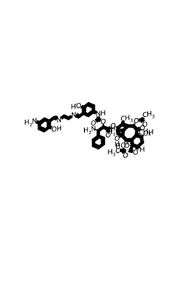 CC(=O)O[C@H]1C(=O)[C@@]2(C)[C@H]([C@H](O)[C@]3(O)C[C@H](OC(=O)[C@H](OC(=O)Nc4ccc(O)c(/C=N/CC/N=C/c5cc(N)ccc5O)c4)[C@@H](N)c4ccccc4)C(C)=C1C3(C)C)[C@]1(OC(C)=O)CO[C@@H]1C[C@@H]2O